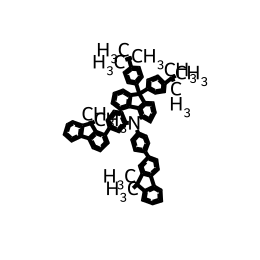 CC(C)(C)c1ccc(C2(c3ccc(C(C)(C)C)cc3)c3ccccc3-c3c(N(c4ccc(-c5ccc6c(c5)C(C)(C)c5ccccc5-6)cc4)c4cccc(-c5cccc6c5C(C)(C)c5ccccc5-6)c4)cccc32)cc1